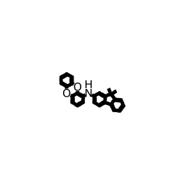 CC1(C)c2ccccc2-c2ccc(Nc3cccc4c3Oc3ccccc3O4)cc21